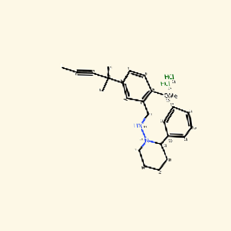 CC#CC(C)(C)c1ccc(OC)c(CNN2CCCCC2c2ccccc2)c1.Cl.Cl